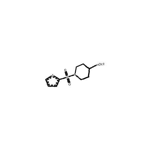 CCCCCCCCC1CCN(S(=O)(=O)c2cccs2)CC1